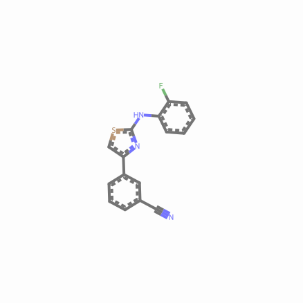 N#Cc1cccc(-c2csc(Nc3ccccc3F)n2)c1